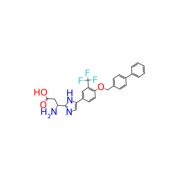 NC(CC(=O)O)c1ncc(-c2ccc(OCc3ccc(-c4ccccc4)cc3)c(C(F)(F)F)c2)[nH]1